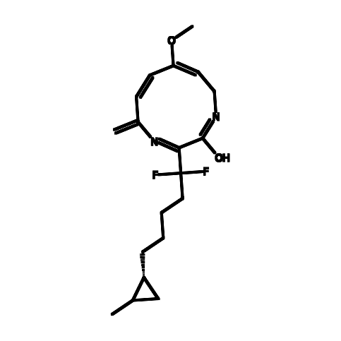 C=C1/C=C\C(OC)=C/C/N=C(O)\C(C(F)(F)CCCC[C@@H]2CC2C)=N/1